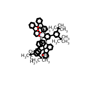 C=C/C=C/B1c2ccc(-c3cc(C(C)(C)C)cc(C(C)(C)C)c3)cc2N(c2cccc3c2C2(c4ccccc4-c4ccccc42)c2ccccc2-3)c2cc(-c3cc(C(C)(C)C)cc(C(C)(C)C)c3)cc(N(C)c3cccc4c3C3(c5ccccc5-c5ccccc53)c3ccccc3-4)c21